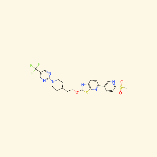 CS(=O)(=O)c1ccc(-c2ccc3nc(OCCC4CCN(c5ncc(C(F)(F)F)cn5)CC4)sc3n2)cn1